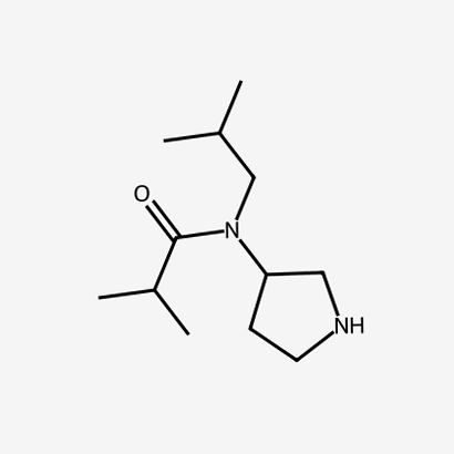 CC(C)CN(C(=O)C(C)C)C1CCNC1